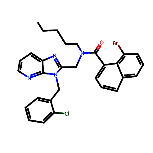 CCCCCN(Cc1nc2cccnc2n1Cc1ccccc1Cl)C(=O)c1cccc2cccc(Br)c12